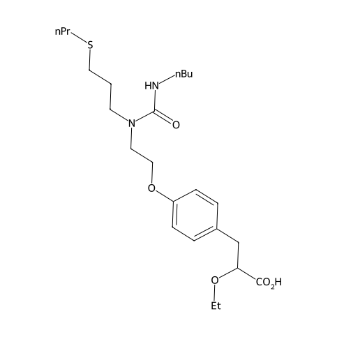 CCCCNC(=O)N(CCCSCCC)CCOc1ccc(CC(OCC)C(=O)O)cc1